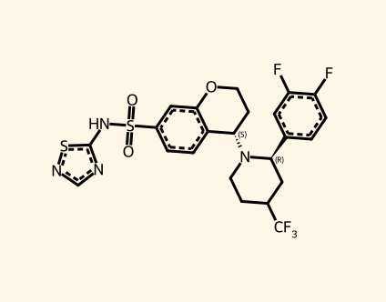 O=S(=O)(Nc1ncns1)c1ccc2c(c1)OCC[C@@H]2N1CCC(C(F)(F)F)C[C@@H]1c1ccc(F)c(F)c1